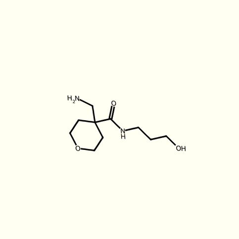 NCC1(C(=O)NCCCO)CCOCC1